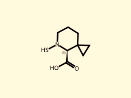 O=C(O)[C@H]1N(S)CCCC12CC2